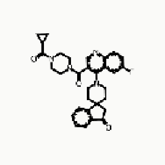 O=C1CC2(CCN(c3c(C(=O)N4CCN(C(=O)C5CC5)CC4)cnc4ccc(F)cc34)CC2)c2ccccc21